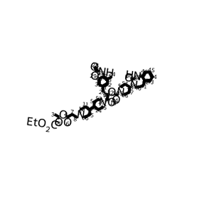 CCOC(=O)OC(C)OC(=O)CCN1CCC(C2CCN(C(=O)[C@@H](Cc3cc(C)c4[nH]c(=O)oc4c3)OC(=O)N3CCC(N4CCc5ccccc5NC4=O)CC3)CC2)CC1